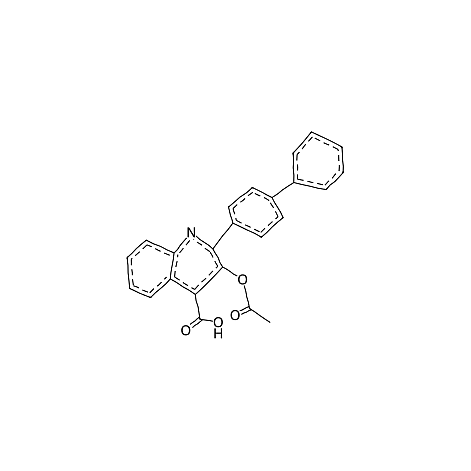 CC(=O)Oc1c(-c2ccc(-c3ccccc3)cc2)nc2ccccc2c1C(=O)O